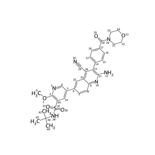 COc1ncc(-c2ccc3nc(N)c(-c4ccc(C(=O)N5CCOCC5)cc4)c(C#N)c3c2)cc1S(=O)(=O)NC(C)(C)C